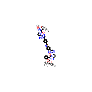 COC(=O)N[C@H](C(=O)N1CCC[C@H]1c1ncc(-c2ccc(-c3nc4ccc(-c5cnc([C@@H]6CCCN6C(=O)[C@H](NC(=O)OC(C)(C)C)c6ccccc6)[nH]5)cc4s3)cc2)[nH]1)C(C)C